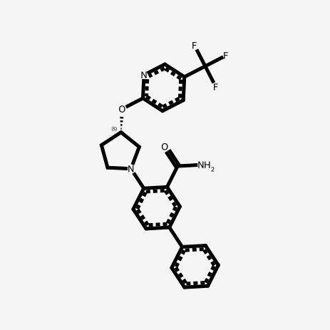 NC(=O)c1cc(-c2ccccc2)ccc1N1CC[C@H](Oc2ccc(C(F)(F)F)cn2)C1